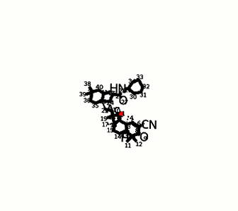 CC(=O)/C=C1/[C@@]2(C)C=C(C#N)C(=O)C(C)(C)[C@@H]2CC[C@@]1(C)C(C)(C)CC[C@@]1(CCC(=O)NC2CCCCC2)CCC(C)(C)CC1C